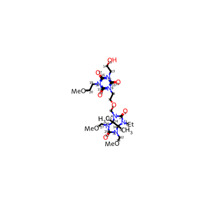 CCN1C(=O)N(COCCn2c(=O)n(CCO)c(=O)n(CCOC)c2=O)C2(C)N(COC)C(=O)N(COC)C12C